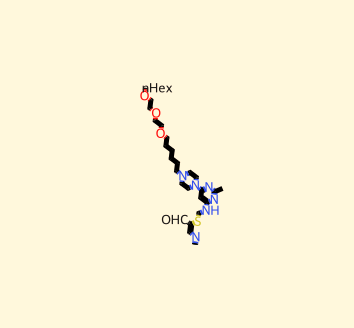 C=N/C=C(/C=O)SCNc1cc(N2CCN(CCCCCCOCCOCCOCCCCCC)CC2)nc(C)n1